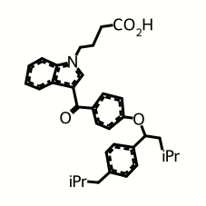 CC(C)Cc1ccc(C(CC(C)C)Oc2ccc(C(=O)c3cn(CCCC(=O)O)c4ccccc34)cc2)cc1